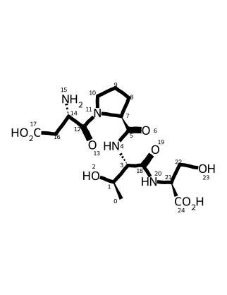 C[C@@H](O)[C@H](NC(=O)[C@@H]1CCCN1C(=O)[C@@H](N)CC(=O)O)C(=O)N[C@@H](CO)C(=O)O